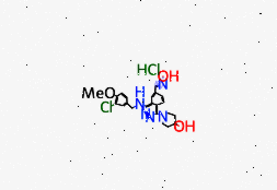 COc1ccc(CNc2nnc(N3CCC(O)CC3)c3ccc(/C=N/O)cc23)cc1Cl.Cl